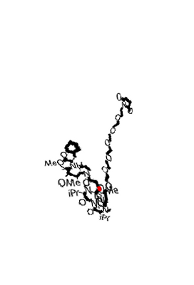 CC[C@H](C)[C@@H]([C@@H](CC(=O)N1CCC[C@H]1[C@H](OC)[C@@H](C)C(=S)N[C@@H](Cc1ccccc1)C(=O)OC)OC)N(C)[C@H](C(=O)NC(=O)[C@H](C(C)C)N(C)C(=O)CCOCCOCCOCCOCCOCCOCCN1C(=O)C=CC1=O)C(C)C